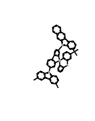 Cc1ccc2c(c1)c1cc(C)ccc1n2-c1ccc2c(c1)[Si]1(c3ccccc3Sc3cc(C(C)(C)C)ccc31)c1cc(-n3c4ccccc4c4cc5ccccc5cc43)ccc1-2